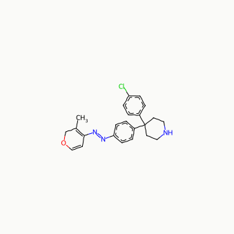 CC1=C(N=Nc2ccc(C3(c4ccc(Cl)cc4)CCNCC3)cc2)C=COC1